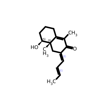 C/C=C/C=C1\C[C@@]2(C)C(=C(C)C1=O)CCC[C@@H]2O